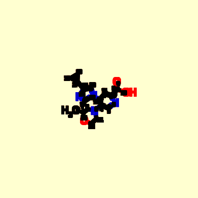 C[C@H]1CN(c2cnc(C(=O)O)cc2-n2cnc(C3CC3)c2)CCO1